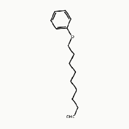 O=CCCCCCCCCOc1ccccc1